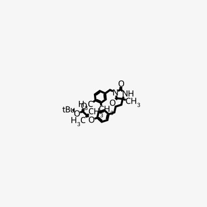 Cc1ccc(CN2C(=O)NC(C)(CCCc3ccc(OC(C)(C)C(=O)OC(C)(C)C)cc3)C2=O)cc1C